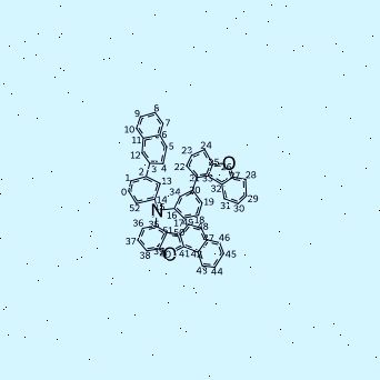 c1cc(-c2ccc3ccccc3c2)cc(N(c2cccc(-c3cccc4oc5ccccc5c34)c2)c2cccc3oc4c5ccccc5ccc4c23)c1